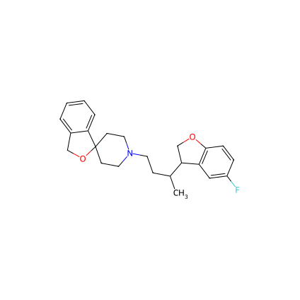 CC(CCN1CCC2(CC1)OCc1ccccc12)C1COc2ccc(F)cc21